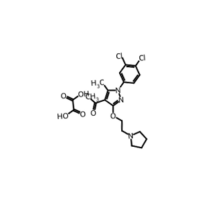 CC(=O)c1c(OCCN2CCCC2)nn(-c2ccc(Cl)c(Cl)c2)c1C.O=C(O)C(=O)O